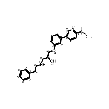 NNc1ccc(-c2cccc(OCC(O)CNCCc3ccccc3)c2)nn1